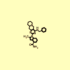 Cc1cc2c(C(N)=O)cccc2n1-c1nc2c(c(NCc3ccccc3)n1)CN1CCCCC1C2